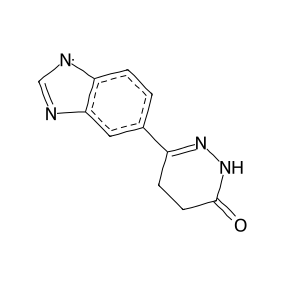 O=C1CCC(c2ccc3c(c2)N=C[N]3)=NN1